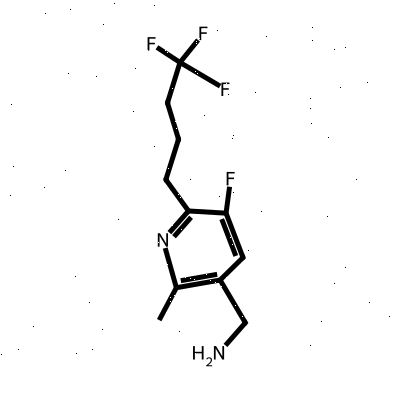 Cc1nc(CCCC(F)(F)F)c(F)cc1CN